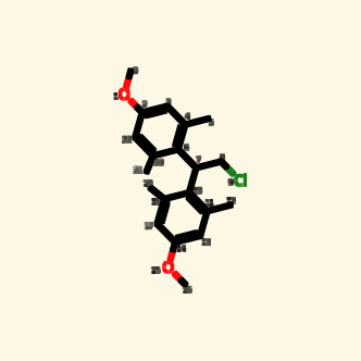 COc1cc(C)c(C(CCl)c2c(C)cc(OC)cc2C)c(C)c1